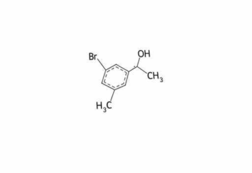 C[C](O)c1cc(C)cc(Br)c1